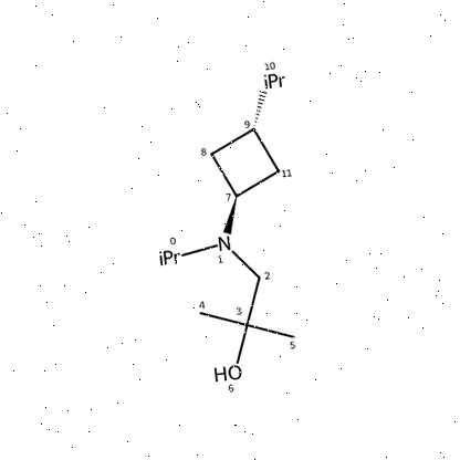 CC(C)N(CC(C)(C)O)[C@H]1C[C@H](C(C)C)C1